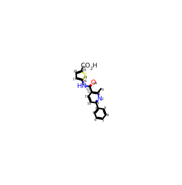 Cc1nc(-c2ccccc2)ccc1C(=O)Nc1ccc(C(=O)O)s1